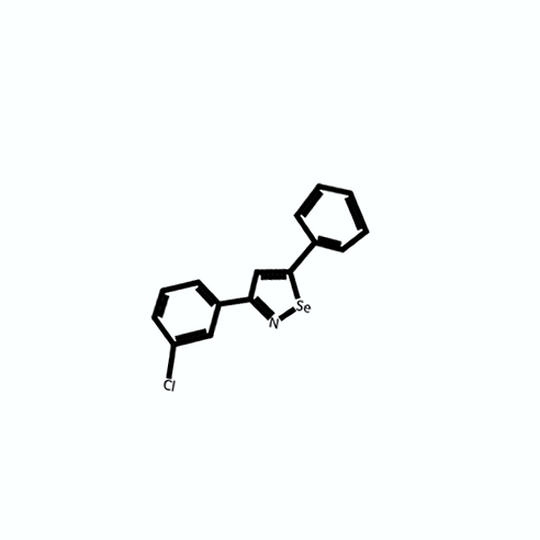 Clc1cccc(-c2cc(-c3ccccc3)[se]n2)c1